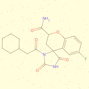 NC(=O)C1CC2(C(=O)NC(=O)N2C(=O)CC2CCCCC2)c2cc(F)ccc2O1